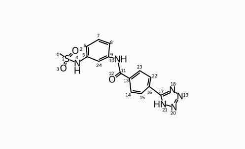 CS(=O)(=O)Nc1cccc(NC(=O)c2ccc(-c3nnn[nH]3)cc2)c1